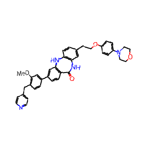 COc1cc(-c2ccc3c(c2)Nc2ccc(CCOc4ccc(N5CCOCC5)cc4)cc2NC3=O)ccc1Cc1ccncc1